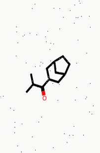 CC(C)C(=O)C1CC2CCC(C2)C1